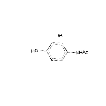 CC(=O)Nc1ccc(O)cc1.[LiH]